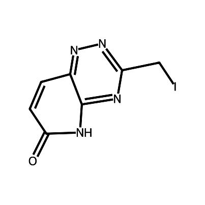 O=c1ccc2nnc(CI)nc2[nH]1